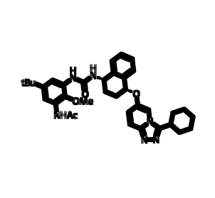 COc1c(NC(C)=O)cc(C(C)(C)C)cc1NC(=O)N[C@H]1CC[C@@H](Oc2ccc3nnc(C4CCCCC4)n3c2)c2ccccc21